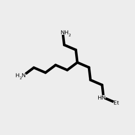 CCNCCCC(CCN)CCCCN